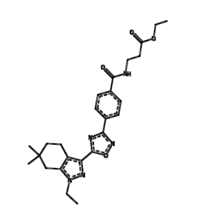 CCOC(=O)CCNC(=O)c1ccc(-c2noc(-c3nn(CC)c4c3CCC(C)(C)C4)n2)cc1